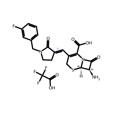 N[C@@H]1C(=O)N2C(C(=O)O)=C(/C=C3\CCN(Cc4cccc(F)c4)C3=O)CS[C@H]12.O=C(O)C(F)(F)F